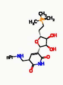 C=P(C)(C)CC[C@H]1O[C@@H](C2=CC(CNCCC)C(=O)NC2=O)[C@H](O)[C@@H]1O